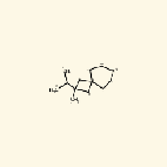 CC(C)C1(C)CC2(CCSCC2)C1